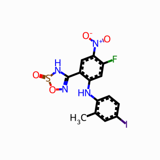 Cc1cc(I)ccc1Nc1cc(F)c([N+](=O)[O-])cc1C1=NOS(=O)N1